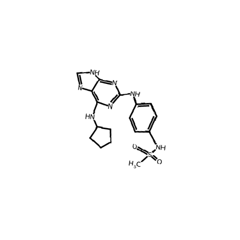 CS(=O)(=O)Nc1ccc(Nc2nc(NC3CCCC3)c3nc[nH]c3n2)cc1